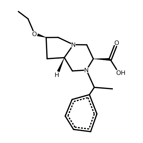 CCO[C@@H]1C[C@H]2CN(C(C)c3ccccc3)[C@H](C(=O)O)CN2C1